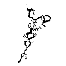 CCOC(=O)CCN1CCN(c2cnc(C(=O)Nc3nc(-c4cc(CI)cs4)c(CN4CCC[C@H]4CC)s3)cn2)[C@H](C)C1